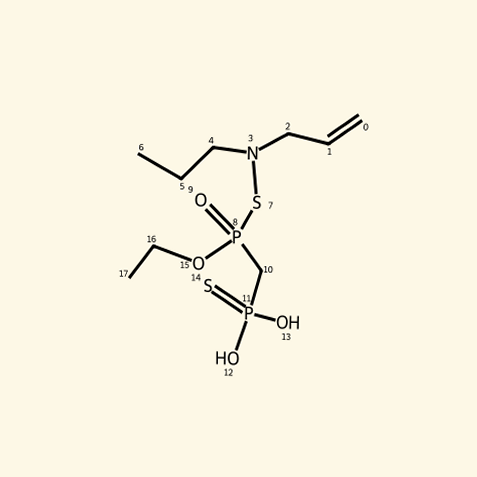 C=CCN(CCC)SP(=O)(CP(O)(O)=S)OCC